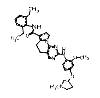 CCc1cccc(CC)c1NC(=O)c1ccn2c1CCc1cnc(Nc3ccc(OC4CCN(C)C4)cc3OC)nc1-2